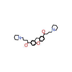 O=C(CCCN1CCCCC1)c1ccc2c(c1)Cc1cc(C(=O)CCCN3CCCCC3)ccc1O2